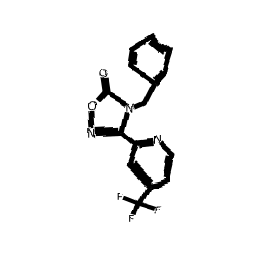 O=c1onc(-c2cc(C(F)(F)F)ccn2)n1Cc1ccccc1